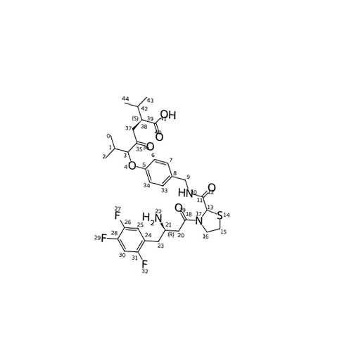 CC(C)C(Oc1ccc(CNC(=O)C2SCCN2C(=O)C[C@H](N)Cc2cc(F)c(F)cc2F)cc1)C(=O)C[C@H](C(=O)O)C(C)C